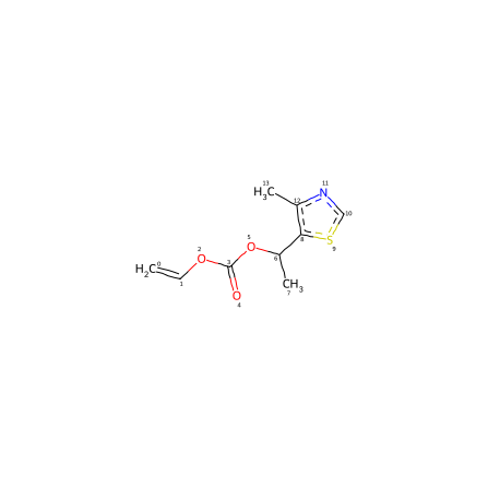 C=COC(=O)OC(C)c1scnc1C